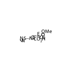 COc1ccc2nccc([C@H](F)CC[C@@H]3CCN(CCCSc4ncccn4)C[C@@H]3C(=O)O)c2c1